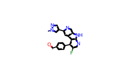 Cn1cc(-c2cc3c(cn2)[nH]c2ncc(F)c(-c4ccc([C]=O)cc4)c23)cn1